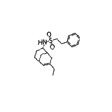 CCC1=CC2CCC(NS(=O)(=O)CCc3ccccc3)C(C1)C2